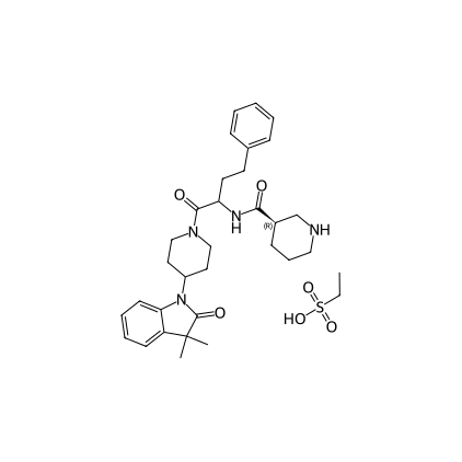 CC1(C)C(=O)N(C2CCN(C(=O)C(CCc3ccccc3)NC(=O)[C@@H]3CCCNC3)CC2)c2ccccc21.CCS(=O)(=O)O